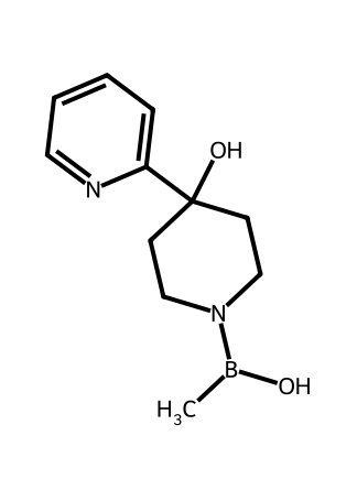 CB(O)N1CCC(O)(c2ccccn2)CC1